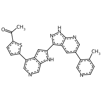 CC(=O)c1ccc(-c2cncc3[nH]c(-c4n[nH]c5ncc(-c6cnccc6C)cc45)cc23)s1